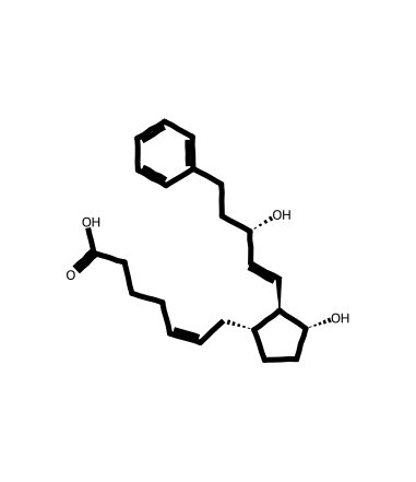 O=C(O)CCC/C=C\C[C@H]1CC[C@@H](O)[C@@H]1/C=C/[C@@H](O)CCc1ccccc1